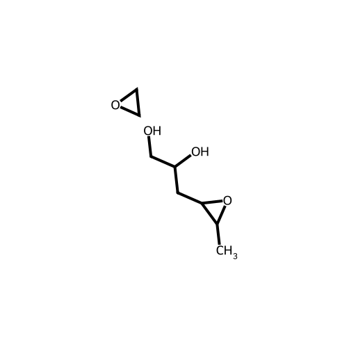 C1CO1.CC1OC1CC(O)CO